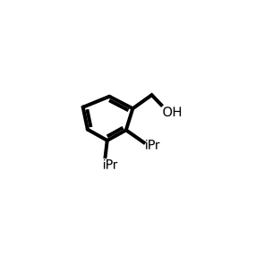 CC(C)c1cccc(CO)c1C(C)C